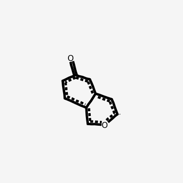 O=c1ccc2co[c]cc-2c1